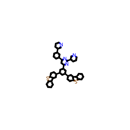 c1cncc(-c2cccc(-c3cc(-c4cc(-c5ccc6sc7ccccc7c6c5)cc(-c5ccc6sc7ccccc7c6c5)c4)nc(-c4cccnc4)n3)c2)c1